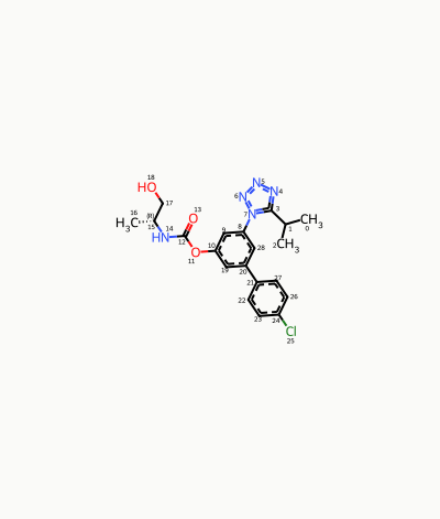 CC(C)c1nnnn1-c1cc(OC(=O)N[C@H](C)CO)cc(-c2ccc(Cl)cc2)c1